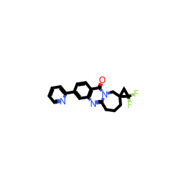 O=c1c2ccc(-c3ccccn3)cc2nc2n1CC1(CCC2)CC1(F)F